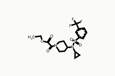 CCOC(=O)C(=O)N1CCC(N(C2CC2)S(=O)(=O)c2cccc(C(F)(F)F)c2)CC1